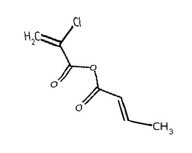 C=C(Cl)C(=O)OC(=O)C=CC